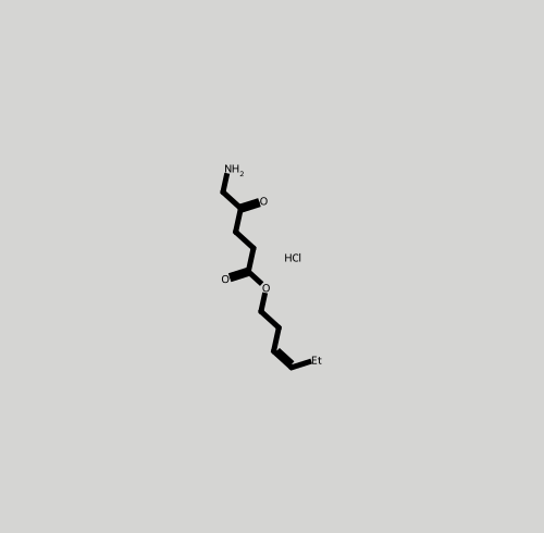 CC/C=C\CCOC(=O)CCC(=O)CN.Cl